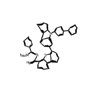 CN/C(=N\C(=N)c1cccc2c1sc1c(-c3ccc4c5ccccc5n(-c5ccc(-c6ccccc6)cc5)c4c3)cccc12)c1ccccc1